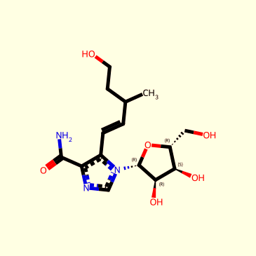 CC(C=Cc1c(C(N)=O)ncn1[C@@H]1O[C@H](CO)[C@@H](O)[C@H]1O)CCO